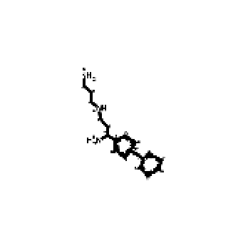 NCCCNCCC(N)c1ccc(-c2ccccc2)cc1